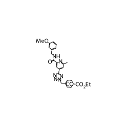 CCOC(=O)C12CCC(Cn3nnc(-c4cc(C)nc(C(=O)NCc5cccc(OC)c5)c4)n3)(CC1)CC2